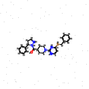 O=C(C1CCN(c2nccc(SCc3ccccc3)n2)CC1)N1N=CCC1c1ccccc1